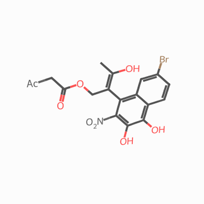 CC(=O)CC(=O)OCC(=C(C)O)c1c([N+](=O)[O-])c(O)c(O)c2ccc(Br)cc12